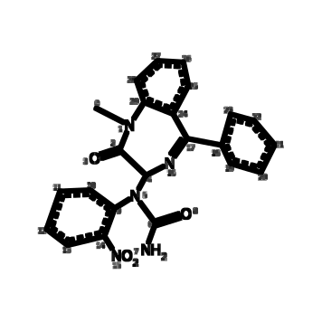 CN1C(=O)C(N(C(N)=O)c2ccccc2[N+](=O)[O-])N=C(c2ccccc2)c2ccccc21